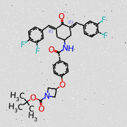 CC(C)(C)OC(=O)N1CC(Oc2ccc(C(=O)NC3C/C(=C\c4ccc(F)c(F)c4)C(=O)/C(=C/c4ccc(F)c(F)c4)C3)cc2)C1